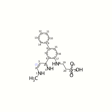 CN/C=C\C(=N)c1cc(-c2ccccc2)ccc1NCCS(=O)(=O)O